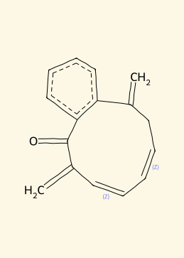 C=C1/C=C\C=C/CC(=C)c2ccccc2C1=O